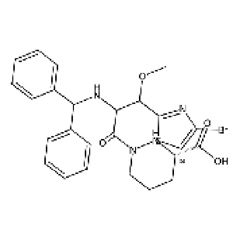 COC(c1nc(Br)cs1)C(NC(c1ccccc1)c1ccccc1)C(=O)N1CCC[C@@H](C(=O)O)N1